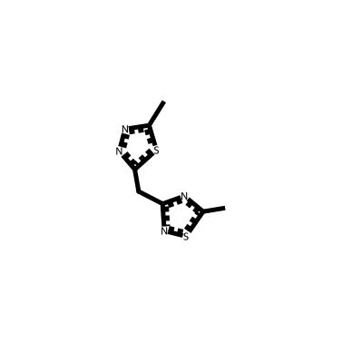 Cc1nc(Cc2nnc(C)s2)ns1